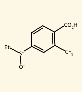 CC[S+]([O-])c1ccc(C(=O)O)c(C(F)(F)F)c1